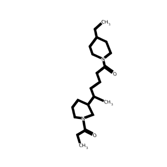 CCC(=O)N1CCCC(C(C)CCCC(=O)N2CCC(CC)CC2)C1